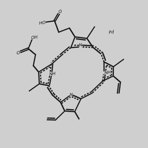 C=CC1=C(C)c2cc3[nH]c(cc4nc(cc5[nH]c(cc1n2)c(C)c5CCC(=O)O)C(CCC(=O)O)=C4C)c(C)c3C=C.[Pd]